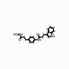 O=C(CCc1ccc(NC(=O)CCc2c[nH]c3ccccc23)cc1)NO